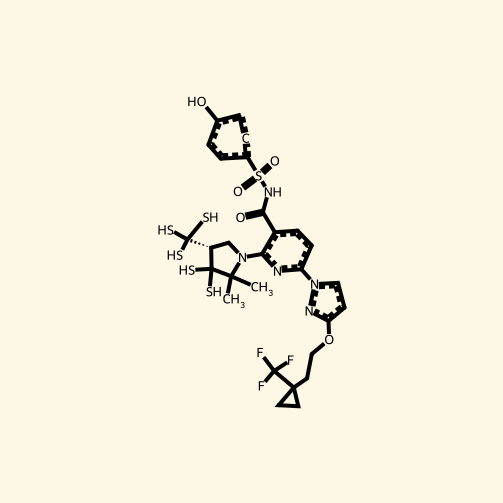 CC1(C)N(c2nc(-n3ccc(OCCC4(C(F)(F)F)CC4)n3)ccc2C(=O)NS(=O)(=O)c2ccc(O)cc2)C[C@@H](C(S)(S)S)C1(S)S